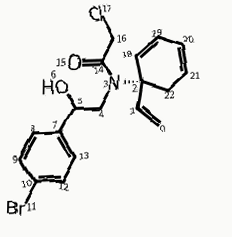 C=C[C@@]1(N(CC(O)c2ccc(Br)cc2)C(=O)CCl)C=CC=CC1